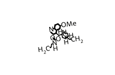 C=CCNC(=O)O[C@H](c1ccnc2ccc(OC)cc12)[C@@H]1C[C@@H]2CCN1C[C@@H]2C=C